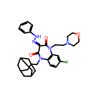 O=c1c(=NNc2ccccc2)c(=O)n(CC23CC4CC(CC(C4)C2)C3)c2ccc(F)cc2n1CCN1CCOCC1